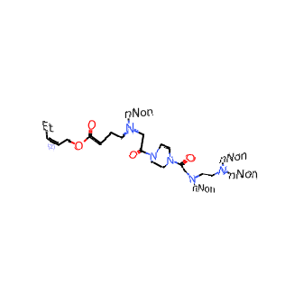 CC/C=C\COC(=O)CCCN(CCCCCCCCC)CC(=O)N1CCN(C(=O)CN(CCCCCCCCC)CCN(CCCCCCCCC)CCCCCCCCC)CC1